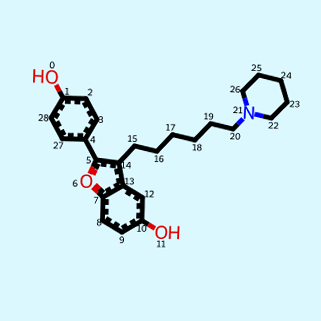 Oc1ccc(-c2oc3ccc(O)cc3c2CCCCCCN2CCCCC2)cc1